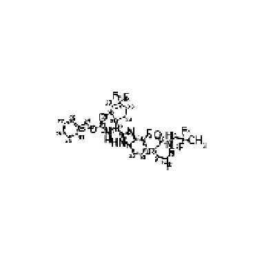 CC(F)(F)CNC(=O)C(CC(F)F)c1ccc2[nH]c([C@@H](NC(=O)OCc3ccccc3)C3CCC(F)(F)CC3)nc2c1F